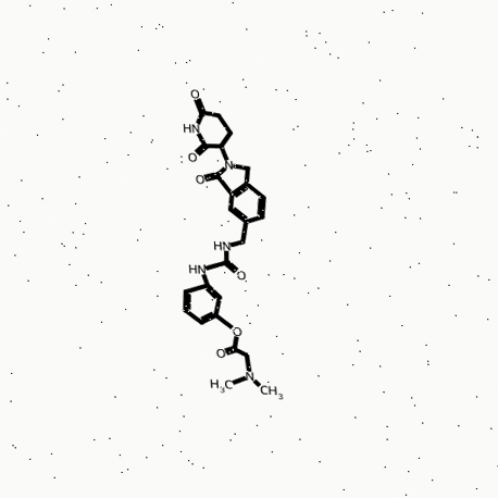 CN(C)CC(=O)Oc1cccc(NC(=O)NCc2ccc3c(c2)C(=O)N(C2CCC(=O)NC2=O)C3)c1